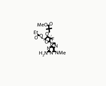 CCC(=O)OC[C@H]1O[C@@H](n2cnc3c(NC)nc(N)nc32)[C@](C)(F)[C@@H]1OCC(C)(C)C(=O)OC